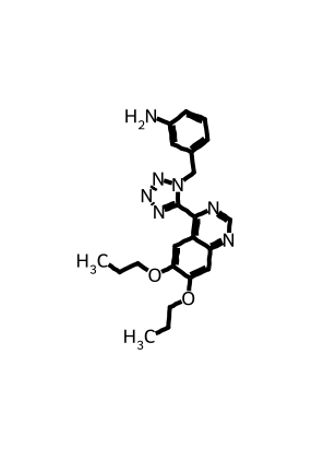 CCCOc1cc2ncnc(-c3nnnn3Cc3cccc(N)c3)c2cc1OCCC